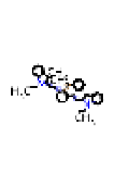 CCCN1/C(=C/C=C2\CCCC(/C=C/C3=[N+](CCC)c4ccccc4C3)=C2Sc2ccccc2)C(C)(C)c2ccccc21